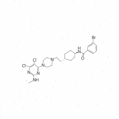 CNc1nc(Cl)c(Cl)c(N2CCN(CC[C@H]3CC[C@H](NC(=O)c4cccc(Br)c4)CC3)CC2)n1